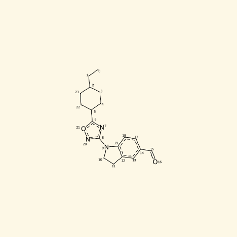 CCC1CCC(c2nc(N3CCc4cc(C=O)ccc43)no2)CC1